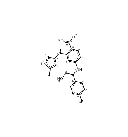 Cc1cc(Nc2nc(NC(CO)c3ccc(F)cc3)ccc2[N+](=O)[O-])n[nH]1